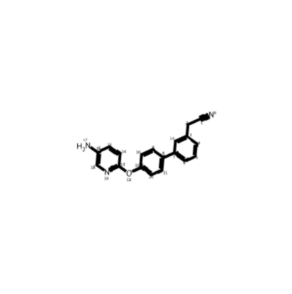 N#CCc1cccc(-c2ccc(Oc3ccc(N)cn3)cc2)c1